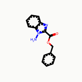 Nn1c(C(=O)OCc2ccccc2)nc2ccccc21